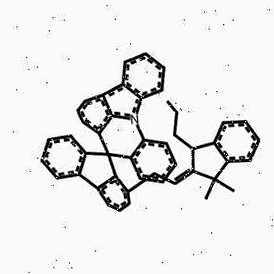 CCCC1/C(=C\Cc2cccc3c2C2(c4ccccc4-3)c3ccccc3-n3c4ccccc4c4cccc2c43)C(C)(C)c2ccccc21